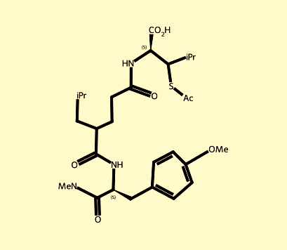 CNC(=O)[C@H](Cc1ccc(OC)cc1)NC(=O)C(CCC(=O)N[C@@H](C(=O)O)C(SC(C)=O)C(C)C)CC(C)C